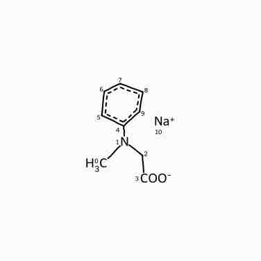 CN(CC(=O)[O-])c1ccccc1.[Na+]